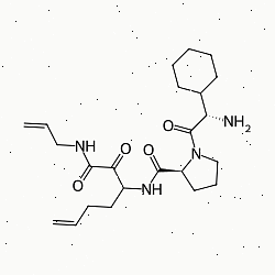 C=CCCC(NC(=O)[C@@H]1CCCN1C(=O)[C@@H](N)C1CCCCC1)C(=O)C(=O)NCC=C